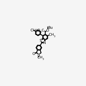 Cc1cc2nc(-c3ccc4c(c3)CN(C)C4=O)sc2c(-c2ccc(Cl)cc2)c1[C@H](OC(C)(C)C)C(=O)O